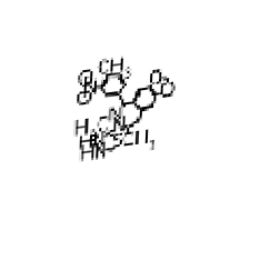 Cc1ccc(C2=NN(C3(C)NNCS3)C(C)Cc3cc4c(cc32)OCO4)cc1[N+](=O)[O-]